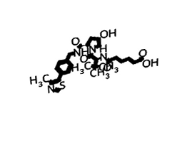 Cc1ncsc1-c1ccc(CNC(=O)[C@@H]2C[C@H](O)CN2C(=O)[C@@H](NC(=O)CCCCC(=O)O)C(C)(C)C)cc1